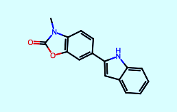 Cn1c(=O)oc2cc(-c3cc4ccccc4[nH]3)ccc21